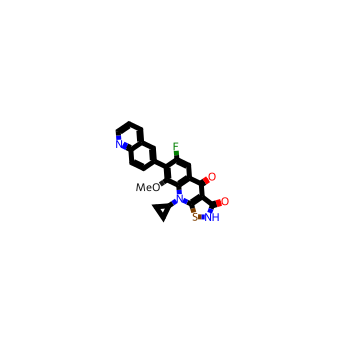 COc1c(-c2ccc3ncccc3c2)c(F)cc2c(=O)c3c(=O)[nH]sc3n(C3CC3)c12